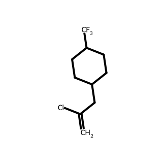 C=C(Cl)CC1CCC(C(F)(F)F)CC1